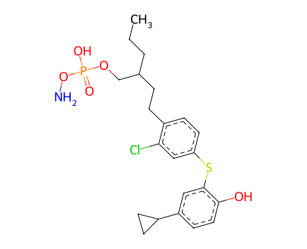 CCCC(CCc1ccc(Sc2cc(C3CC3)ccc2O)cc1Cl)COP(=O)(O)ON